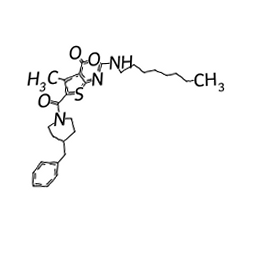 CCCCCCCCNc1nc2sc(C(=O)N3CCC(Cc4ccccc4)CC3)c(C)c2c(=O)o1